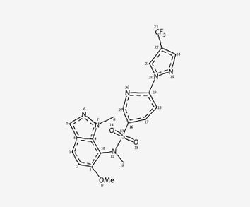 COc1ccc2cnn(C)c2c1N(C)S(=O)(=O)c1ccc(-n2cc(C(F)(F)F)cn2)nc1